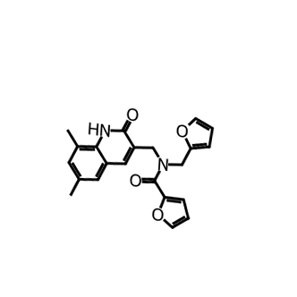 Cc1cc(C)c2[nH]c(=O)c(CN(Cc3ccco3)C(=O)c3ccco3)cc2c1